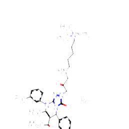 COC(=O)C1=C(C)N(c2cccc(C(F)(F)F)c2)c2nn(CC(=O)CNCCCCC[N+](C)(C)C)c(=O)n2C1c1ccc(C#N)cc1.[Br-]